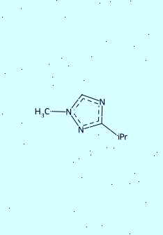 CC(C)c1ncn(C)n1